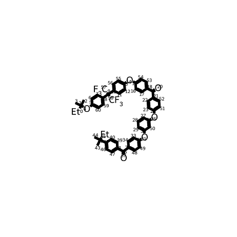 CCC(C)(C)Oc1ccc(C(c2ccc(Oc3ccc(C(=O)c4ccc(Oc5cccc(Oc6ccc(C(=O)c7ccc(C(C)(C)CC)cc7)cc6)c5)cc4)cc3)cc2)(C(F)(F)F)C(F)(F)F)cc1